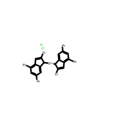 CCC1=Cc2c(C(C)C)cc(C(C)C)cc2[CH]1[Zr+2][CH]1C(CC)=Cc2c(C(C)C)cc(C(C)C)cc21.[Cl-].[Cl-]